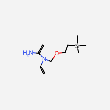 C=CN(COCC[Si](C)(C)C)C(=C)N